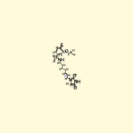 CC(C)COc1cc(C2(NCCCC/C=C/CN3C(=O)NC(=O)[C@@H]3C)CC2)ccc1F